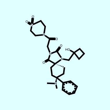 CN(C)[C@]1(c2ccccc2)CC[C@]2(CC1)C(=O)N(CC(=O)N1CCS(=O)(=O)CC1)C(=O)N2CC1(O)CCC1